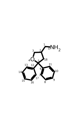 NCC1COC(c2ccccc2)(c2ccccc2)C1